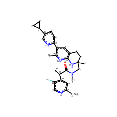 CCN(C[C@@]1(C)CCc2cc(-c3ccc(C4CC4)cn3)c(C)nc2N1)C(=O)[C@H](C)c1cc(OC)ncc1F